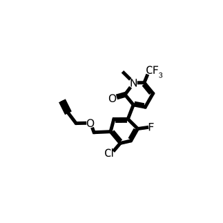 C#CCOCc1cc(-c2ccc(C(F)(F)F)n(C)c2=O)c(F)cc1Cl